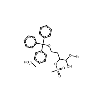 CCOC(O)C(CCOC(c1ccccc1)(c1ccccc1)c1ccccc1)OS(C)(=O)=O.CS(=O)(=O)O